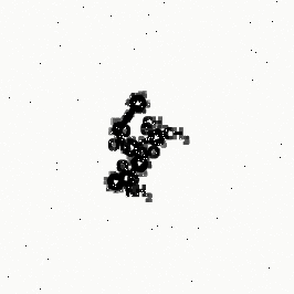 COc1cc(C)ccc1CN1C(=O)c2ccc(CC(=O)c3ccccc3C(N)=O)cc2C12CCN(C(=O)c1ccc(C#Cc3ccccc3)o1)CC2